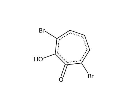 O=c1c(Br)cccc(Br)c1O